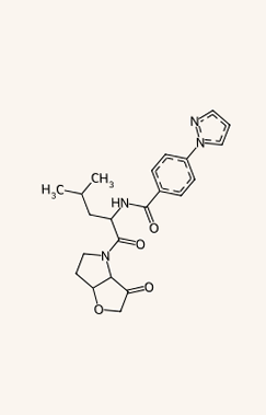 CC(C)CC(NC(=O)c1ccc(-n2cccn2)cc1)C(=O)N1CCC2OCC(=O)C21